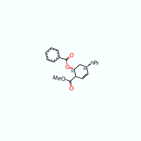 CCC[C@H]1C=CC(C(=O)OC)[C@@H](OC(=O)c2ccccc2)C1